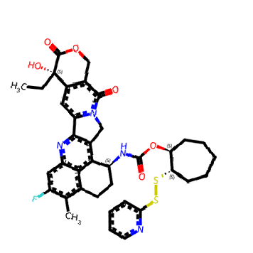 CC[C@@]1(O)C(=O)OCc2c1cc1n(c2=O)Cc2c-1nc1cc(F)c(C)c3c1c2[C@@H](NC(=O)O[C@H]1CCCCC[C@@H]1SSc1ccccn1)CC3